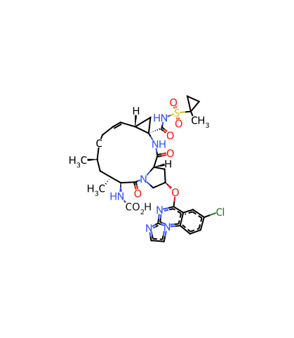 C[C@H]1CCC=C[C@@H]2C[C@@]2(C(=O)NS(=O)(=O)C2(C)CC2)NC(=O)[C@@H]2C[C@@H](Oc3nc4nccn4c4ccc(Cl)cc34)CN2C(=O)[C@@H](NC(=O)O)[C@H](C)C1